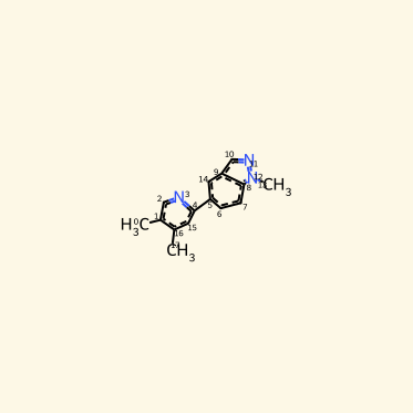 Cc1cnc(-c2ccc3c(cnn3C)c2)cc1C